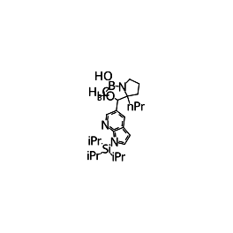 CCCC1(C(O)c2cnc3c(ccn3[Si](C(C)C)(C(C)C)C(C)C)c2)CCCN1B(C)O